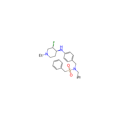 CCN1CC[C@H](Nc2ccc(CN(CC(C)C)S(=O)(=O)Cc3ccccc3)cc2)[C@H](F)C1